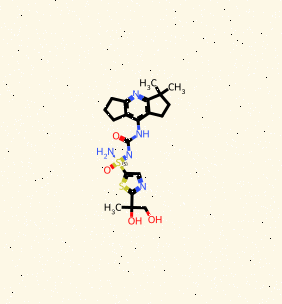 CC1(C)CCc2c1nc1c(c2NC(=O)N=[S@](N)(=O)c2cnc(C(C)(O)CO)s2)CCC1